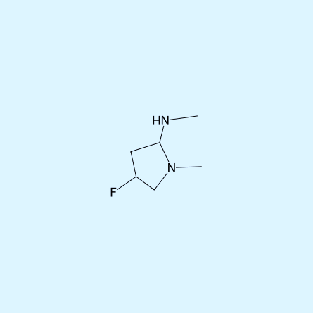 CNC1CC(F)CN1C